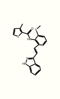 COc1cccc(/C=C/c2n[nH]c3ccccc23)c1NC(=O)c1sccc1C